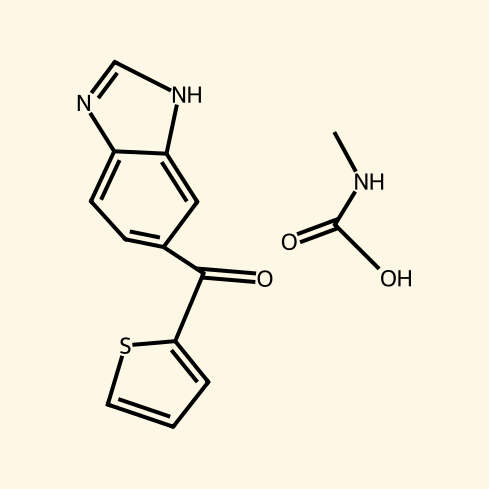 CNC(=O)O.O=C(c1ccc2nc[nH]c2c1)c1cccs1